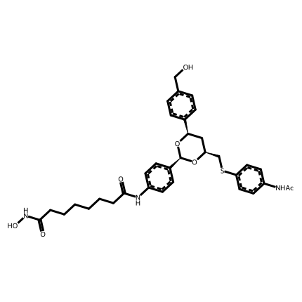 CC(=O)Nc1ccc(SC[C@@H]2C[C@H](c3ccc(CO)cc3)O[C@H](c3ccc(NC(=O)CCCCCCC(=O)NO)cc3)O2)cc1